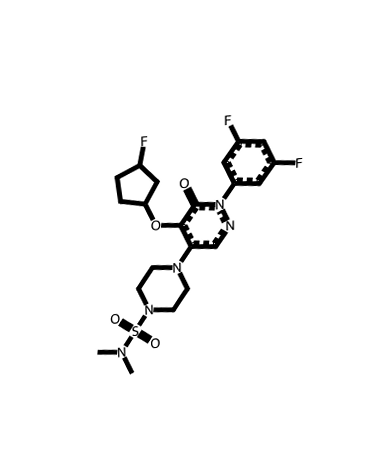 CN(C)S(=O)(=O)N1CCN(c2cnn(-c3cc(F)cc(F)c3)c(=O)c2OC2CCC(F)C2)CC1